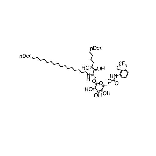 CCCCCCCCCCCCCCCCCCCCCCCCCCN[C@@H](CO[C@H]1O[C@H](COC(=O)Nc2ccccc2OC(F)(F)F)[C@H](O)[C@H](O)[C@H]1O)[C@H](O)[C@H](O)CCCCCCCCCCCCCC